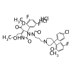 COCC1=C(C(=O)OC)C(c2cc(F)cc(F)c2)N(N(C=O)CCCN2CCC(c3ccc(Cl)cc3)(c3cc(F)ccc3OC)CC2)C(=O)N1.Cl.Cl